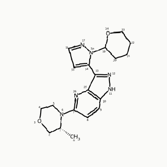 C[C@@H]1COCCN1c1c[c]c2[nH]nc(-c3ccnn3C3CCCCO3)c2n1